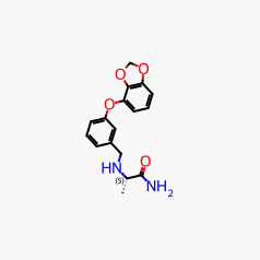 C[C@H](NCc1cccc(Oc2cccc3c2OCO3)c1)C(N)=O